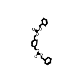 O=C(OCC1CC=CCC1)OCC1CCC(COC(=O)OCC2CC=CCC2)CC1